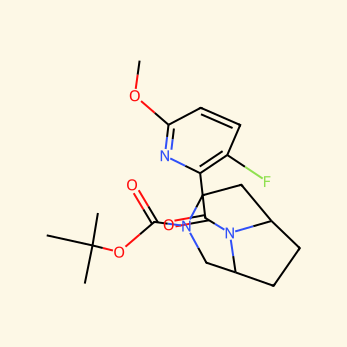 COc1ccc(F)c(C(=O)N2C3CCC2CN(C(=O)OC(C)(C)C)CC3)n1